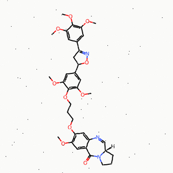 COc1cc2c(cc1OCCCOc1c(OC)cc(C3CC(c4cc(OC)c(OC)c(OC)c4)=NO3)cc1OC)N=C[C@@H]1CCCN1C2=O